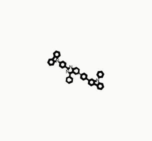 C1=CCCC(c2nc(-c3ccc(-n4c5ccccc5c5ccccc54)cc3)nc3c2=C[C@H](c2ccc(-c4ccc5c6ccccc6n(-c6ccccc6)c5c4)cc2)CC=3)=C1